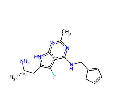 Cc1nc(NCC2=CC=CC2)c2c(F)c(C[C@H](C)N)[nH]c2n1